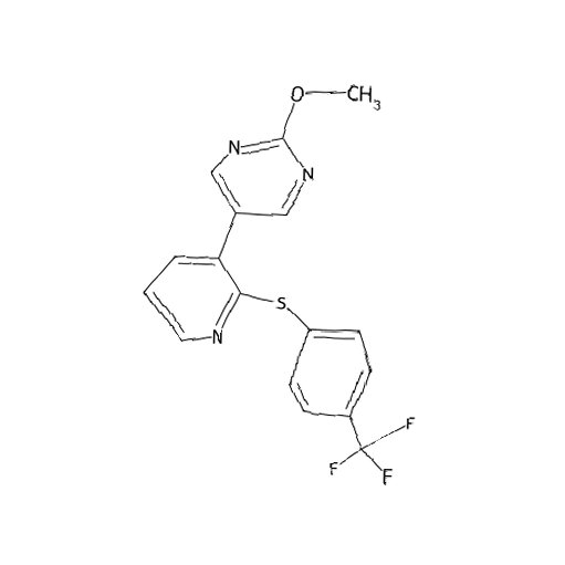 COc1ncc(-c2cccnc2Sc2ccc(C(F)(F)F)cc2)cn1